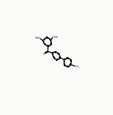 Cc1ccc(-c2ccc(C(=O)c3cc(C=O)cc(C=O)c3)cc2)cc1